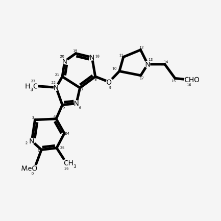 COc1ncc(-c2nc3c(OC4CCN(CCC=O)C4)ncnc3n2C)cc1C